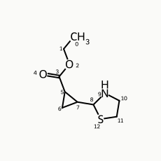 CCOC(=O)C1CC1C1NCCS1